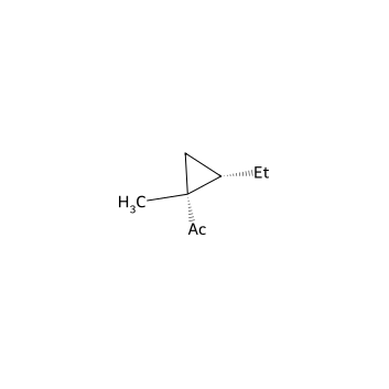 CC[C@H]1C[C@@]1(C)C(C)=O